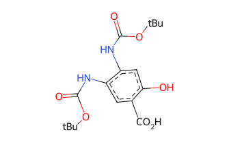 CC(C)(C)OC(=O)Nc1cc(O)c(C(=O)O)cc1NC(=O)OC(C)(C)C